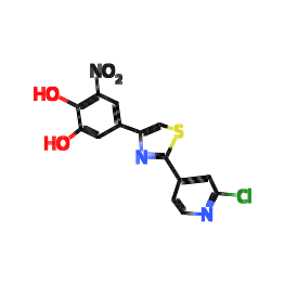 O=[N+]([O-])c1cc(-c2csc(-c3ccnc(Cl)c3)n2)cc(O)c1O